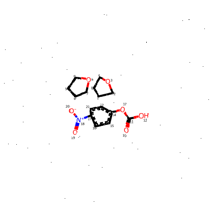 C1CCOC1.C1CCOC1.O=C(O)Oc1ccc([N+](=O)[O-])cc1